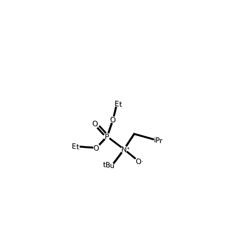 CCOP(=O)(OCC)[N+]([O])(CC(C)C)C(C)(C)C